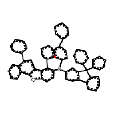 c1ccc(-c2ccc(N(c3ccc4c(c3)C(c3ccccc3)(c3ccccc3)c3ccccc3-4)c3ccc4oc5c6ccccc6c(-c6ccccc6)cc5c4c3-c3ccccc3)cc2)cc1